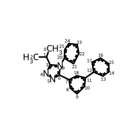 CC(C)c1nnc(-c2cccc(-c3ccccc3)c2)n1-c1ccccc1